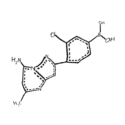 Cc1cc(N)n2nc(-c3ccc(B(O)O)cc3Cl)cc2n1